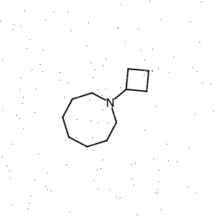 [CH]1CC(N2CCCCCCC2)C1